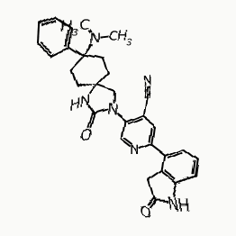 CN(C)[C@]1(c2ccccc2)CC[C@@]2(CC1)CN(c1cnc(-c3cccc4c3CC(=O)N4)cc1C#N)C(=O)N2